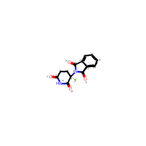 O=C1CC[C@@](F)(N2C(=O)c3ccccc3C2=O)C(=O)N1